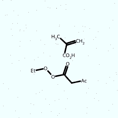 C=C(C)C(=O)O.CCOOC(=O)CC(C)=O